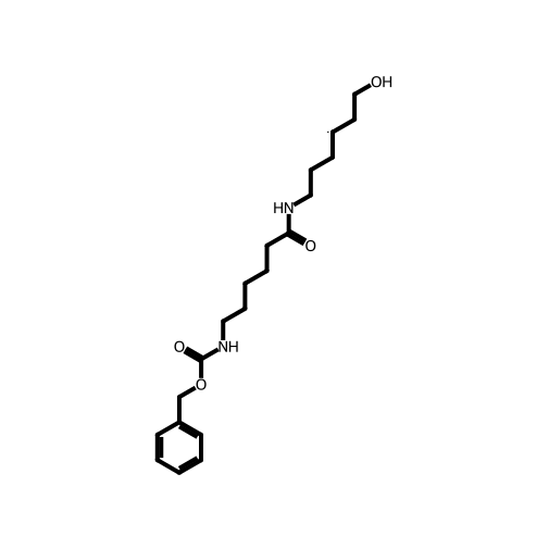 O=C(CCCCCNC(=O)OCc1ccccc1)NCCC[CH]CCO